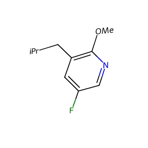 COc1ncc(F)cc1CC(C)C